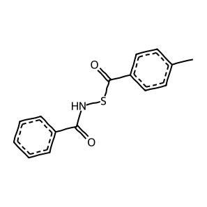 Cc1ccc(C(=O)SNC(=O)c2ccccc2)cc1